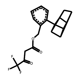 O=C(CC(=O)C(F)(F)F)OCc1ccccc1C12C3C4C5C3C1C5C42